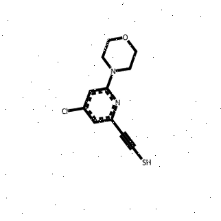 SC#Cc1cc(Cl)cc(N2CCOCC2)n1